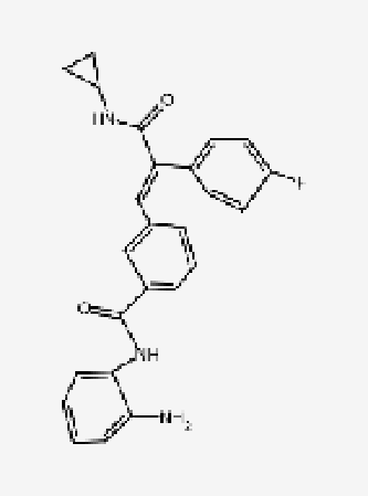 Nc1ccccc1NC(=O)c1cccc(/C=C(/C(=O)NC2CC2)c2ccc(F)cc2)c1